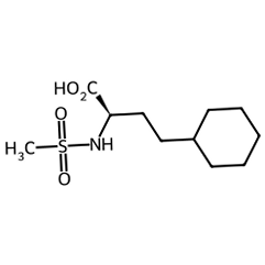 CS(=O)(=O)N[C@H](CCC1CCCCC1)C(=O)O